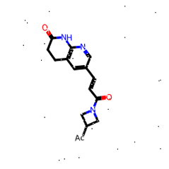 CC(=O)C1CN(C(=O)C=Cc2cnc3c(c2)CCC(=O)N3)C1